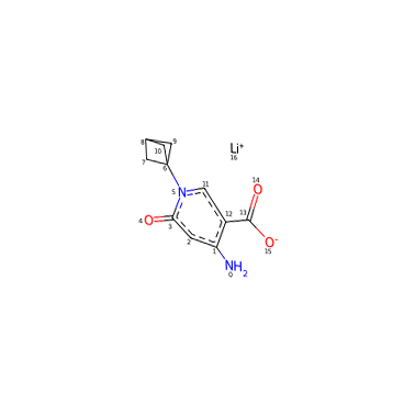 Nc1cc(=O)n(C23CC(C2)C3)cc1C(=O)[O-].[Li+]